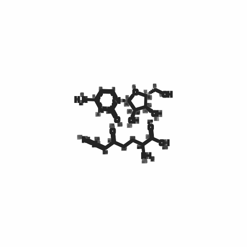 Nc1ccn([C@@H]2O[C@H](CO)[C@@H](O)[C@H]2O)c(=O)n1.[N-]=[N+]=CC(=O)CCC(N)C(=O)O